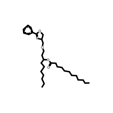 CCCCCCCCCCCC(=O)OC(CCCCCCC)CCOCC1COC(c2ccccc2)=N1